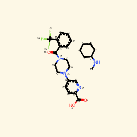 CNC1CCCCC1.O=C(O)c1ccc(N2CCN(C(=O)c3ccccc3C(F)(F)F)CC2)cn1